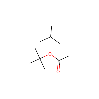 CC(=O)OC(C)(C)C.C[C](C)C